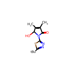 CC1=C(C)C(O)N(c2nnc(C(C)(C)C)s2)C1=O